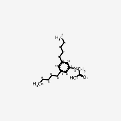 CC(=O)O.CCCCCc1c[c]([Na])cc(CCCCC)c1